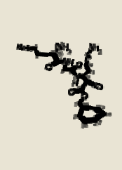 CSCC[C@H](N)C(=O)NCC(=O)N[C@@H](CCCCN)C(=O)C(=O)OCc1ccccc1